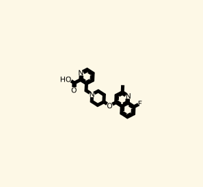 Cc1cc(OC2CCN(Cc3cccnc3C(=O)O)CC2)c2cccc(F)c2n1